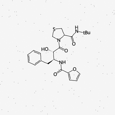 CC(C)(C)NC(=O)C1CSCN1C(=O)[C@@H](O)[C@H](Cc1ccccc1)NC(=O)c1ccco1